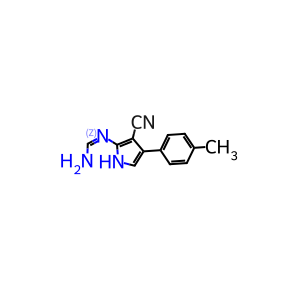 Cc1ccc(-c2c[nH]c(/N=C\N)c2C#N)cc1